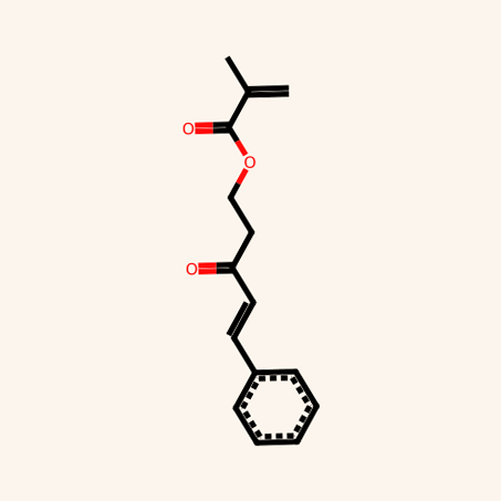 C=C(C)C(=O)OCCC(=O)/C=C/c1ccccc1